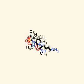 CCOP(=O)(OCC)[C@@H](CC)N[C@@H](CC(C)C)C(=O)N[C@@H](CCCCN)C(=O)NC